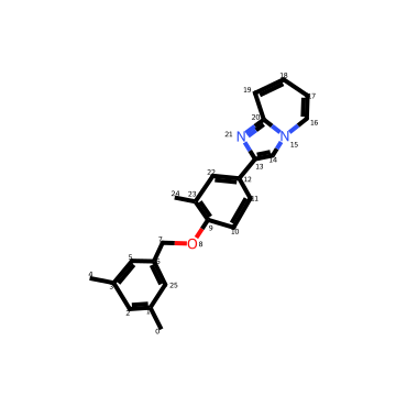 Cc1cc(C)cc(COc2ccc(-c3cn4ccccc4n3)cc2C)c1